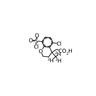 [2H]C([2H])([2H])C1(CC(=O)O)CCOc2c(S(=O)(=O)Cl)ccc(Cl)c21